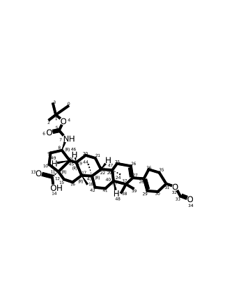 CC(C)(C)OC(=O)N[C@@H]1CC[C@]2(C(=O)O)CC[C@]3(C)[C@H](CC[C@@H]4[C@@]5(C)CC=C(C6=CCC(OC=O)CC6)C(C)(C)[C@@H]5CC[C@]43C)[C@@H]12